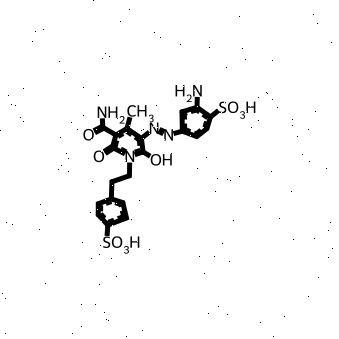 Cc1c(N=Nc2ccc(S(=O)(=O)O)c(N)c2)c(O)n(CCc2ccc(S(=O)(=O)O)cc2)c(=O)c1C(N)=O